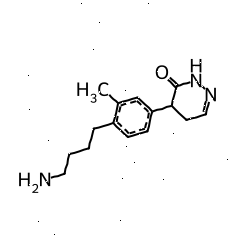 Cc1cc(C2CC=NNC2=O)ccc1CCCCN